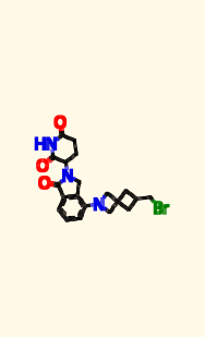 O=C1CCC(N2Cc3c(cccc3N3CC4(CC(CBr)C4)C3)C2=O)C(=O)N1